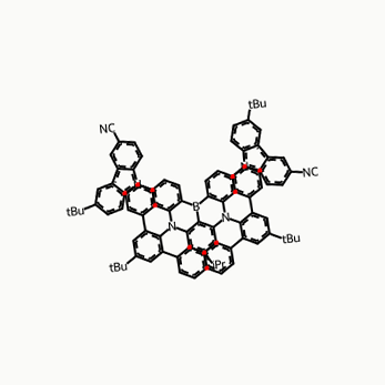 [C-]#[N+]c1ccc2c(c1)c1cc(C(C)(C)C)ccc1n2-c1ccc2c(c1)N(c1c(-c3ccccc3)cc(C(C)(C)C)cc1-c1ccccc1)c1cc(C(C)C)cc3c1B2c1ccc(-n2c4ccc(C#N)cc4c4cc(C(C)(C)C)ccc42)cc1N3c1c(-c2ccccc2)cc(C(C)(C)C)cc1-c1ccccc1